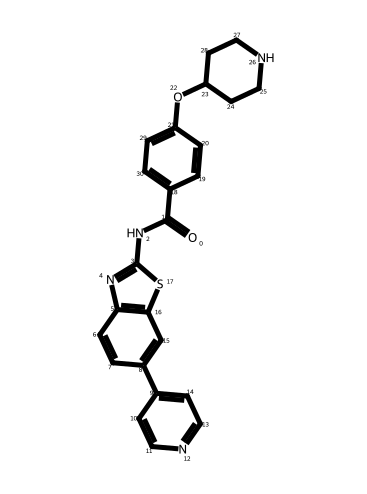 O=C(Nc1nc2ccc(-c3ccncc3)cc2s1)c1ccc(OC2CCNCC2)cc1